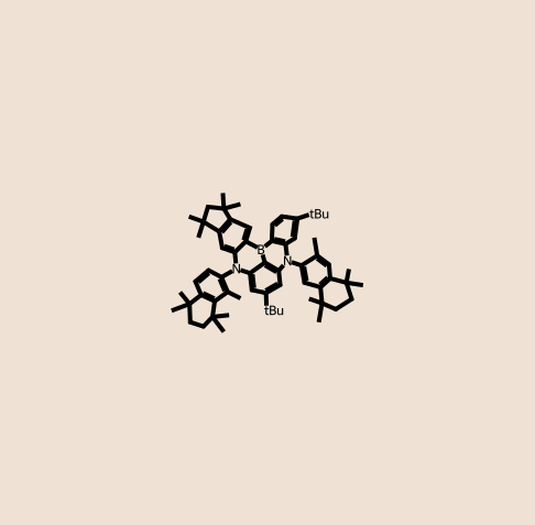 Cc1cc2c(cc1N1c3cc(C(C)(C)C)ccc3B3c4cc5c(cc4N(c4ccc6c(c4C)C(C)(C)CCC6(C)C)c4cc(C(C)(C)C)cc1c43)C(C)(C)CC5(C)C)C(C)(C)CCC2(C)C